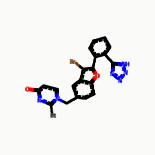 CCc1nc(=O)ccn1Cc1ccc2oc(-c3ccccc3-c3nnn[nH]3)c(Br)c2c1